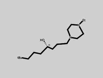 CCN1CCN(CCC[C@@H](O)CCCC(C)(C)C)CC1